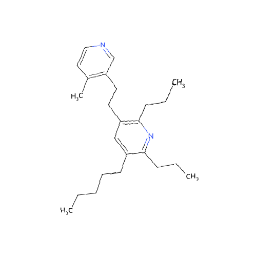 CCCCCc1cc(CCc2cnccc2C)c(CCC)nc1CCC